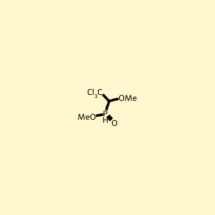 COC([PH](=O)OC)C(Cl)(Cl)Cl